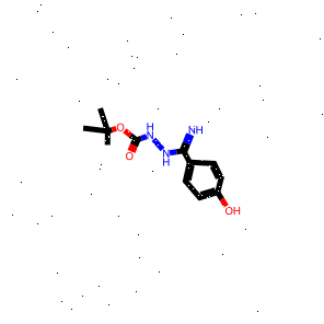 CC(C)(C)OC(=O)NNC(=N)c1ccc(O)cc1